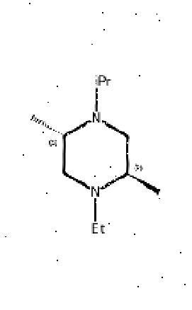 CCN1C[C@H](C)N(C(C)C)C[C@H]1C